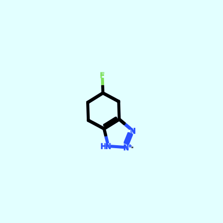 FC1CCC2=C(C1)N=[N+]N2